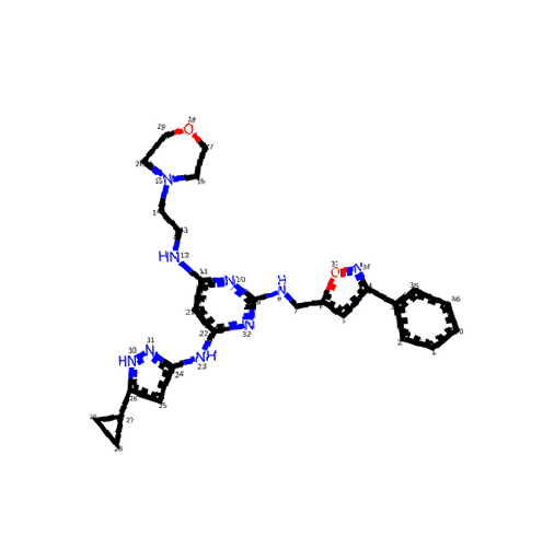 c1ccc(-c2cc(CNc3nc(NCCN4CCOCC4)cc(Nc4cc(C5CC5)[nH]n4)n3)on2)cc1